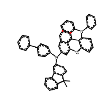 CC1(C)c2ccccc2-c2cc(N(c3ccc(-c4ccccc4)cc3)c3cc4c5c(cccc5c3)-c3c(cccc3N(c3ccccc3)c3ccccc3)O4)ccc21